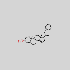 C[C@H](Cc1ccccc1)[C@H]1CC=C2C3=C(CC[C@@]21C)[C@@]1(C)CCC(O)CC1CC3